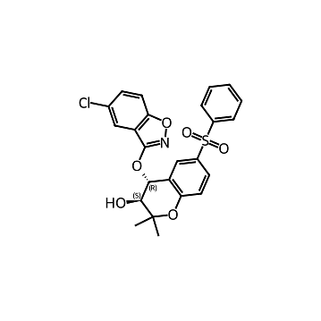 CC1(C)Oc2ccc(S(=O)(=O)c3ccccc3)cc2[C@@H](Oc2noc3ccc(Cl)cc23)[C@@H]1O